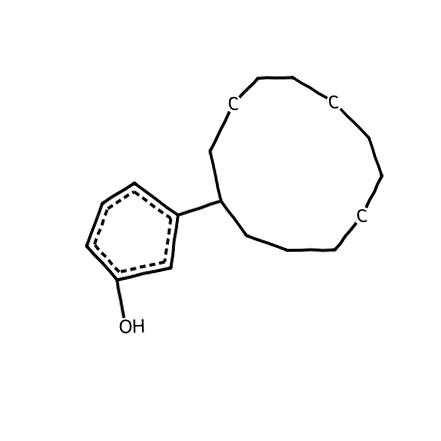 Oc1cccc(C2CCCCCCCCCCC2)c1